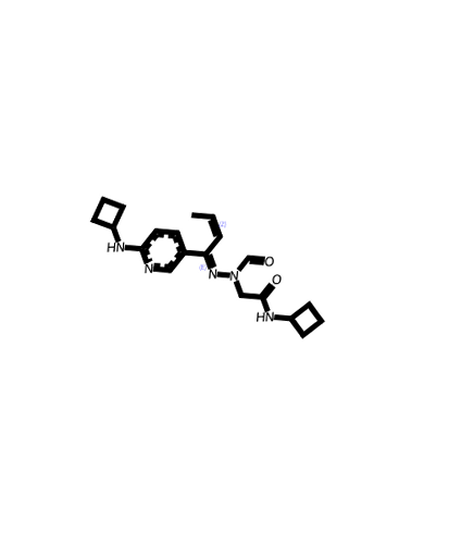 C/C=C\C(=N/N(C=O)CC(=O)NC1CCC1)c1ccc(NC2CCC2)nc1